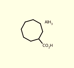 O=C(O)C1CCCCCCC1.[AlH3]